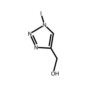 OCc1cn(I)nn1